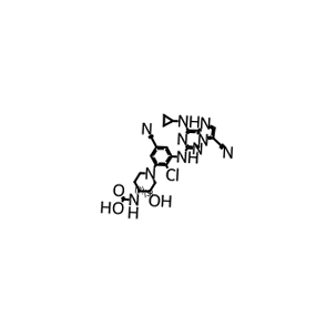 N#Cc1cc(Nc2nc(NC3CC3)c3ncc(C#N)n3n2)c(Cl)c(N2CC[C@@H](NC(=O)O)[C@@H](O)C2)c1